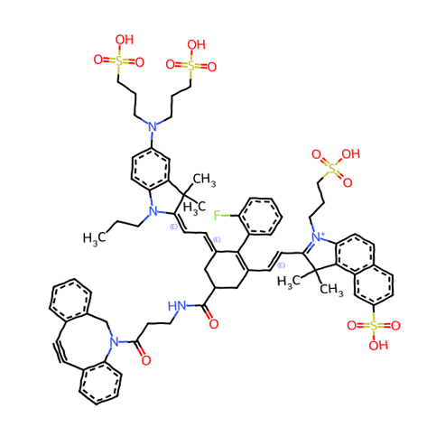 CCCN1/C(=C/C=C2\CC(C(=O)NCCC(=O)N3Cc4ccccc4C#Cc4ccccc43)CC(/C=C/C3=[N+](CCCS(=O)(=O)O)c4ccc5ccc(S(=O)(=O)O)cc5c4C3(C)C)=C2c2ccccc2F)C(C)(C)c2cc(N(CCCS(=O)(=O)O)CCCS(=O)(=O)O)ccc21